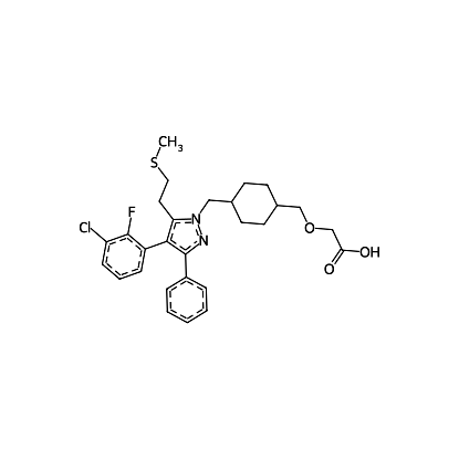 CSCCc1c(-c2cccc(Cl)c2F)c(-c2ccccc2)nn1CC1CCC(COCC(=O)O)CC1